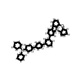 c1ccc(N(c2ccccc2)c2ccc(-c3ccc(-c4cccc(-c5ccc6c7cccc8c7n(c6c5)-c5ccccc5O8)c4)cc3)cc2)cc1